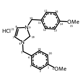 COc1ccc(CN2C=CN(Cc3ccc(OC)cc3)C2)cc1.Cl